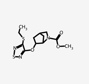 CCSc1nsnc1OC1CC2CC1N(C(=O)OC)C2